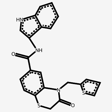 O=C(Nc1c[nH]c2ccccc12)c1ccc2c(c1)N(Cc1cccs1)C(=O)CS2